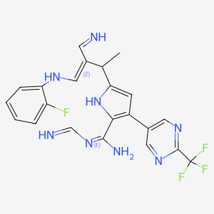 CC(/C(C=N)=C/Nc1ccccc1F)c1cc(-c2cnc(C(F)(F)F)nc2)c(/C(N)=N\C=N)[nH]1